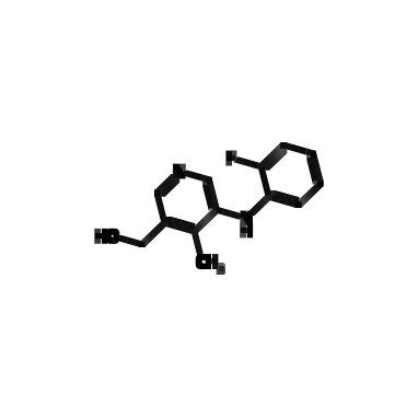 Cc1c(CO)cncc1Nc1ccccc1F